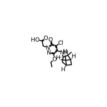 CCOc1nn(CC(=O)O)c(=O)c(Cl)c1N[C@@H]1C[C@H]2C[C@H]([C@@H]1C)C2(C)C